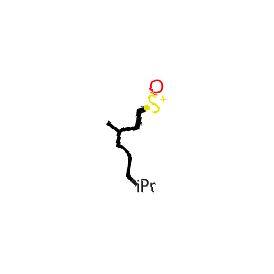 CC(C)CCCC(C)CC[S+]=O